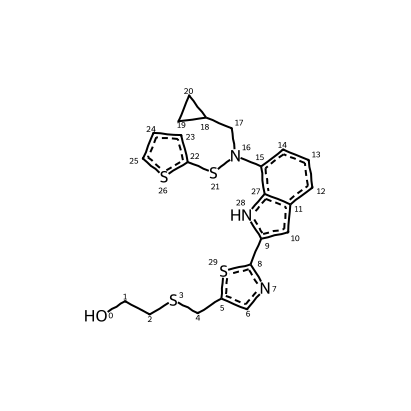 OCCSCc1cnc(-c2cc3cccc(N(CC4CC4)Sc4cccs4)c3[nH]2)s1